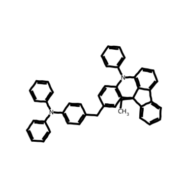 CCC12c3ccccc3-c3cccc(c31)N(c1ccccc1)c1ccc(Cc3ccc(N(c4ccccc4)c4ccccc4)cc3)cc12